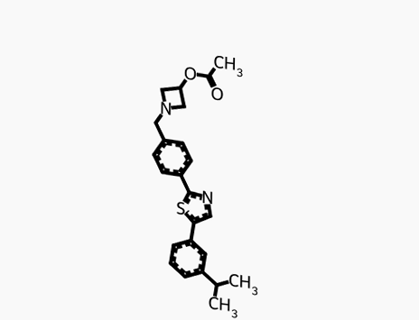 CC(=O)OC1CN(Cc2ccc(-c3ncc(-c4cccc(C(C)C)c4)s3)cc2)C1